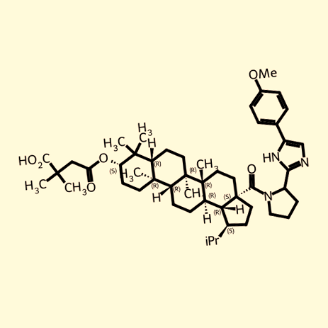 COc1ccc(-c2cnc(C3CCCN3C(=O)[C@]34CC[C@@H](C(C)C)[C@@H]3[C@H]3CC[C@@H]5[C@@]6(C)CC[C@H](OC(=O)CC(C)(C)C(=O)O)C(C)(C)[C@@H]6CC[C@@]5(C)[C@]3(C)CC4)[nH]2)cc1